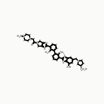 Cc1c(-c2nc3cc(CN4CC[C@@H](C(=O)O)C4)cc(C#N)c3o2)cccc1-c1cccc(-c2nc3c(s2)CN(C(=O)CN2CCN(C)CC2)C3)c1C